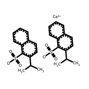 CC(C)c1ccc2ccccc2c1S(=O)(=O)[O-].CC(C)c1ccc2ccccc2c1S(=O)(=O)[O-].[Ca+2]